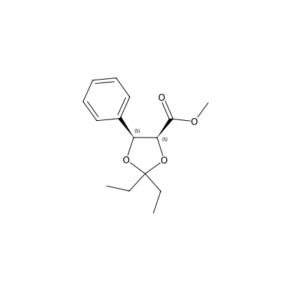 CCC1(CC)O[C@H](C(=O)OC)[C@H](c2ccccc2)O1